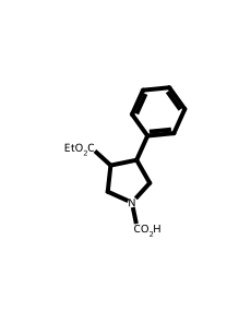 CCOC(=O)C1CN(C(=O)O)CC1c1ccccc1